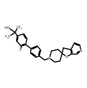 OC(c1ccc(-c2ccc(CN3CCC4(CC3)Cc3ccncc3O4)cc2)c(F)c1)(C(F)(F)F)C(F)(F)F